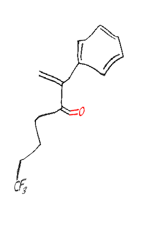 C=C(C(=O)CCCC(F)(F)F)c1ccccc1